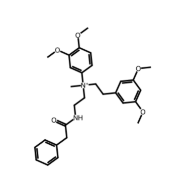 COc1cc(CC[N+](C)(CCNC(=O)Cc2ccccc2)c2ccc(OC)c(OC)c2)cc(OC)c1